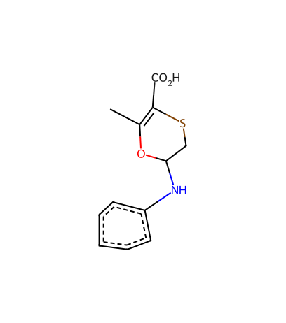 CC1=C(C(=O)O)SCC(Nc2ccccc2)O1